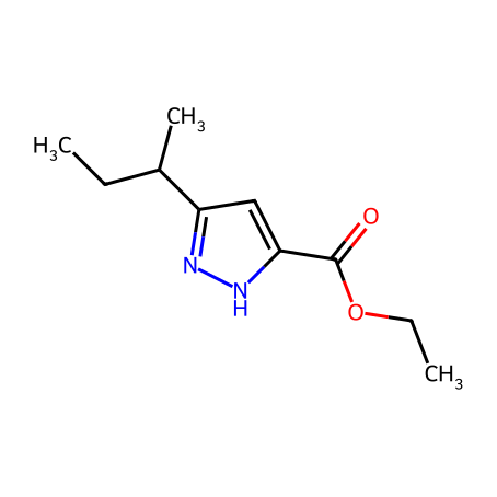 CCOC(=O)c1cc(C(C)CC)n[nH]1